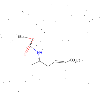 CCOC(=O)/C=C/CC(C)NC(=O)OC(C)(C)C